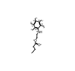 CCCC(=O)OCCNc1c(C)c(C)c(C)c(C)c1C